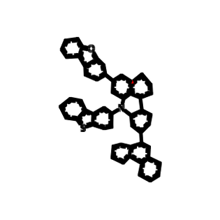 c1ccc(-c2ccc(-c3cc4ccccc4c4ccccc34)cc2N(c2cccc(-c3ccc4c(c3)oc3ccccc34)c2)c2ccc3sc4ccccc4c3c2)cc1